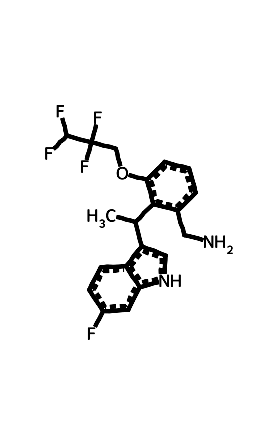 CC(c1c(CN)cccc1OCC(F)(F)C(F)F)c1c[nH]c2cc(F)ccc12